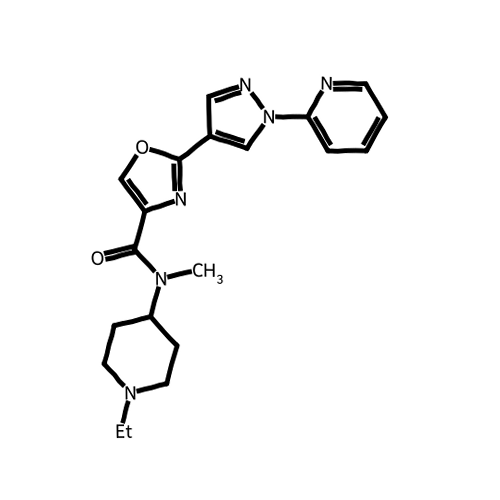 CCN1CCC(N(C)C(=O)c2coc(-c3cnn(-c4ccccn4)c3)n2)CC1